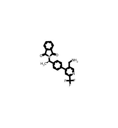 C[C@H](c1ccc(-c2cc(C(F)(F)F)ncc2CN)cc1)N1C(=O)c2ccccc2C1=O